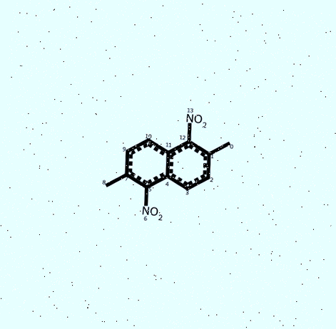 Cc1ccc2c([N+](=O)[O-])c(C)ccc2c1[N+](=O)[O-]